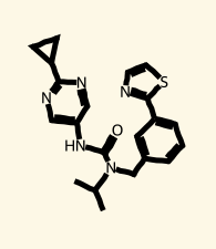 CC(C)N(Cc1cccc(-c2nccs2)c1)C(=O)Nc1cnc(C2CC2)nc1